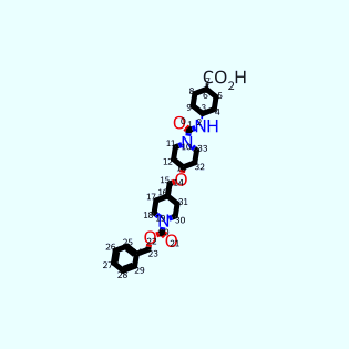 O=C(N[C@H]1CC[C@H](C(=O)O)CC1)N1CCC(OCC2CCN(C(=O)OCc3ccccc3)CC2)CC1